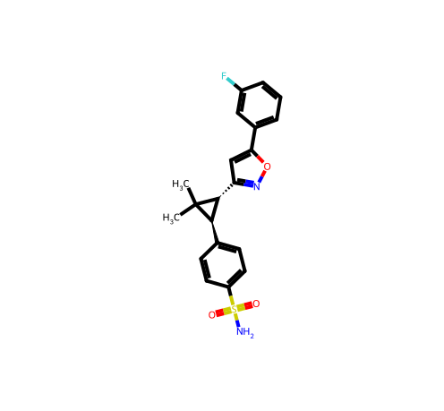 CC1(C)[C@H](c2ccc(S(N)(=O)=O)cc2)[C@H]1c1cc(-c2cccc(F)c2)on1